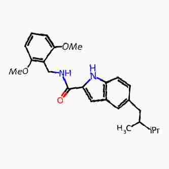 COc1cccc(OC)c1CNC(=O)c1cc2cc(CC(C)C(C)C)ccc2[nH]1